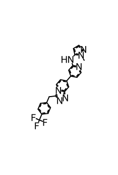 Cn1nccc1Nc1cc(-c2ccn3c(Cc4ccc(C(F)(F)F)cc4)nnc3c2)ccn1